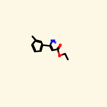 CCOC(=O)C=C(N)c1cccc(C)c1